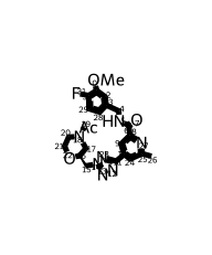 COc1cc(CNC(=O)c2cc(-c3nnn(C[C@@H]4CN(C(C)=O)CCO4)n3)cc(C)n2)ccc1F